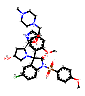 COc1ccc(S(=O)(=O)N2C(=O)C(c3ccc(CN4CCN(C)CC4)cc3OC)(N3C[C@H](O)C[C@H]3c3ncco3)c3cc(Cl)ccc32)cc1